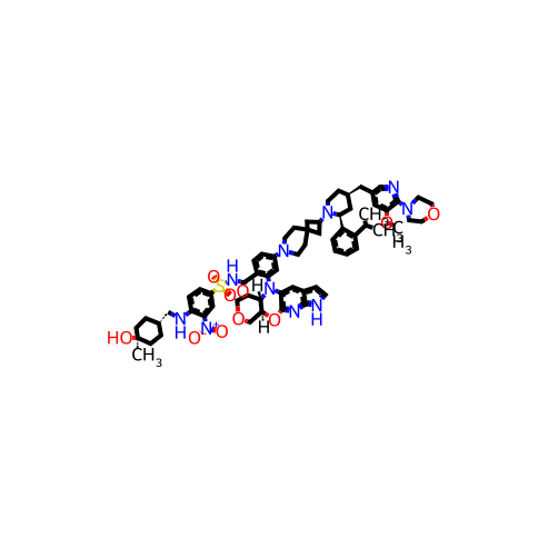 COc1cc(C[C@@H]2CCN(C3CC4(CCN(c5ccc(C(=O)NS(=O)(=O)c6ccc(NC[C@H]7CC[C@](C)(O)CC7)c([N+](=O)[O-])c6)c(N6c7cc8cc[nH]c8nc7O[C@H]7COCC[C@@H]76)c5)CC4)C3)[C@H](c3ccccc3C(C)C)C2)cnc1N1CCOCC1